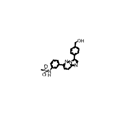 CS(=O)(=O)Nc1cccc(-c2ccc3ncc(-c4ccc(CO)cc4)n3n2)c1